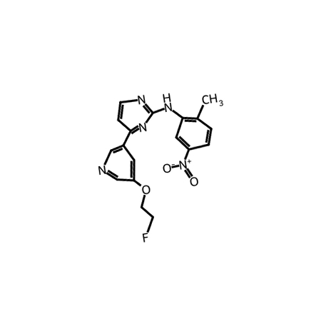 Cc1ccc([N+](=O)[O-])cc1Nc1nccc(-c2cncc(OCCF)c2)n1